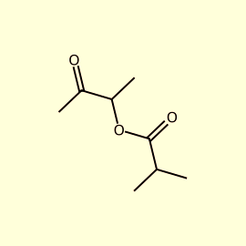 CC(=O)C(C)OC(=O)C(C)C